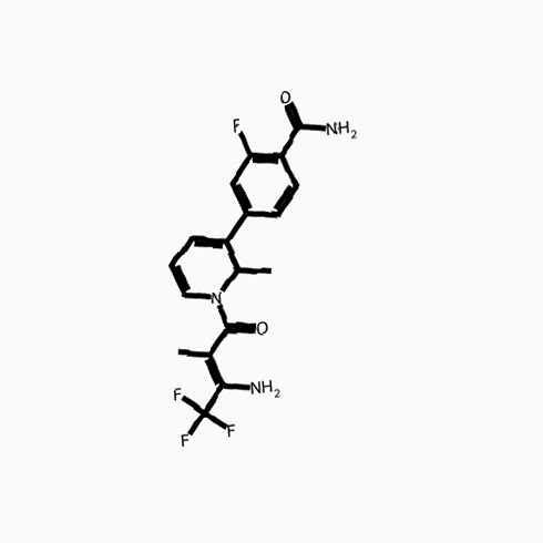 C/C(C(=O)N1C=CC=C(c2ccc(C(N)=O)c(F)c2)C1C)=C(/N)C(F)(F)F